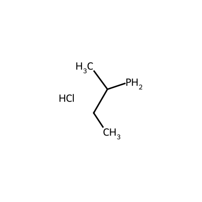 CCC(C)P.Cl